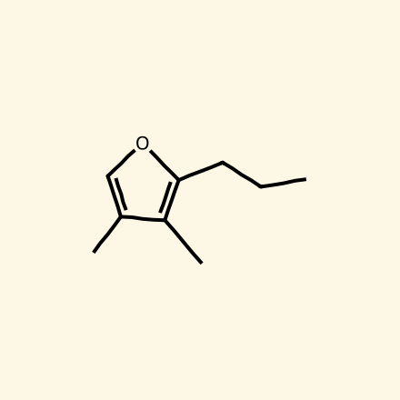 CCCc1occ(C)c1C